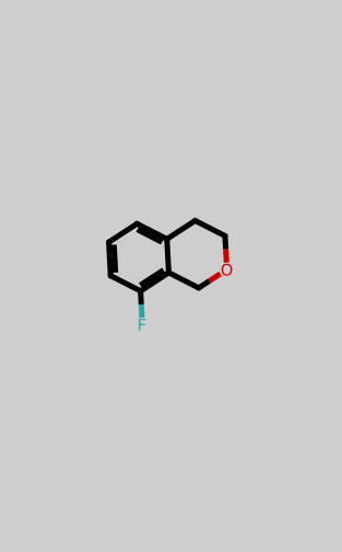 Fc1cccc2c1COCC2